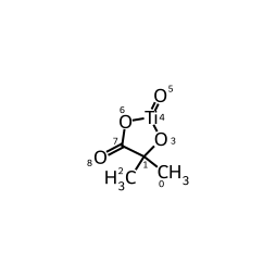 CC1(C)[O][Ti](=[O])[O]C1=O